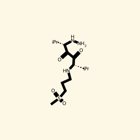 CC(C)[C@H](NN)C(=O)C(=O)[C@@H](NCCCS(C)(=O)=O)C(C)C